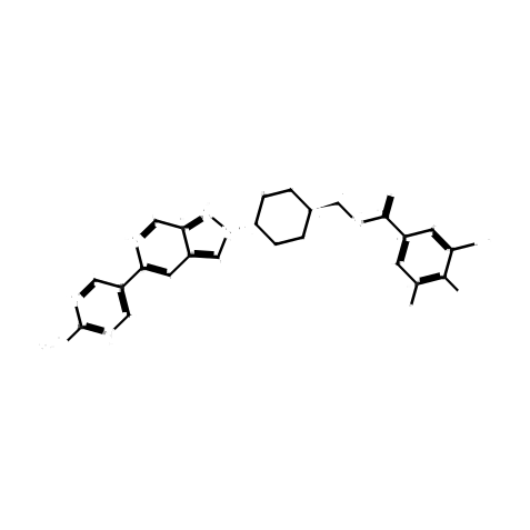 COc1ncc(-c2cc3cn([C@H]4CC[C@H](CNC(=O)c5cc(F)c(O)c(F)c5)CC4)nc3cn2)cn1